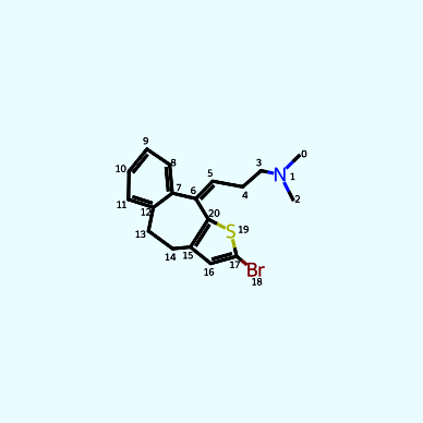 CN(C)CC/C=C1/c2ccccc2CCc2cc(Br)sc21